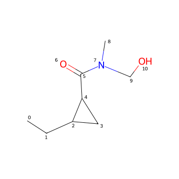 CCC1CC1C(=O)N(C)CO